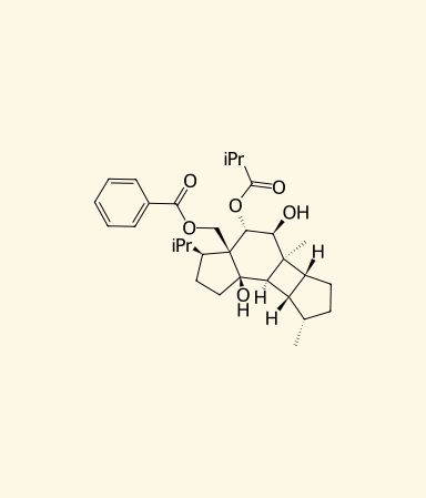 CC(C)C(=O)O[C@@H]1[C@@H](O)[C@@]2(C)[C@@H]3CC[C@H](C)[C@@H]3[C@H]2[C@]2(O)CC[C@@H](C(C)C)[C@]12COC(=O)c1ccccc1